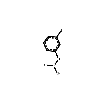 OP(O)Oc1cccc(I)c1